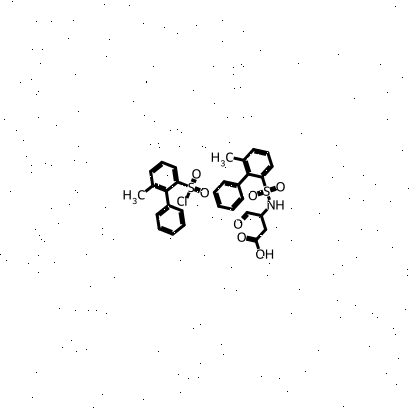 Cc1cccc(S(=O)(=O)Cl)c1-c1ccccc1.Cc1cccc(S(=O)(=O)NC(C=O)CC(=O)O)c1-c1ccccc1